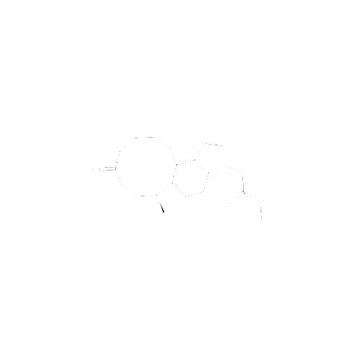 COC(=O)[C@@H](C)[C@H]1CCC2C3CCCCC(=O)CC[C@H](C)C3=CC[C@@]21C